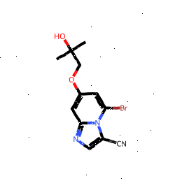 CC(C)(O)COc1cc(Br)n2c(C#N)cnc2c1